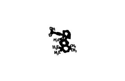 COC1(C#CC(=O)O)CCC2CC21c1ccc2c(c1)C(C)(C)CCC2(C)C